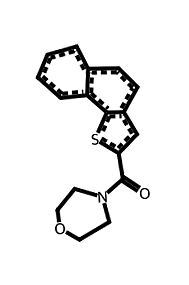 O=C(c1cc2ccc3ccccc3c2s1)N1CCOCC1